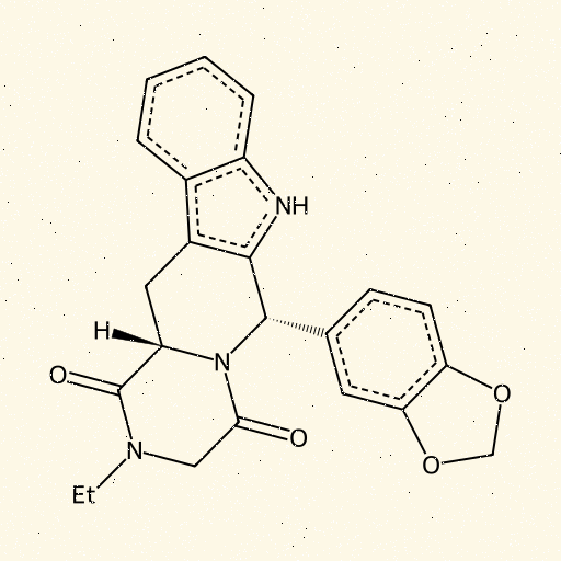 CCN1CC(=O)N2[C@@H](c3ccc4c(c3)OCO4)c3[nH]c4ccccc4c3C[C@H]2C1=O